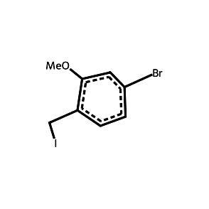 COc1cc(Br)ccc1CI